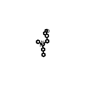 C1=CCC(c2nc(-c3ccc(-c4ccccc4)cc3)cc(-c3cccc(C4CCc5c(ccc6ccoc56)C4)c3)n2)C=C1